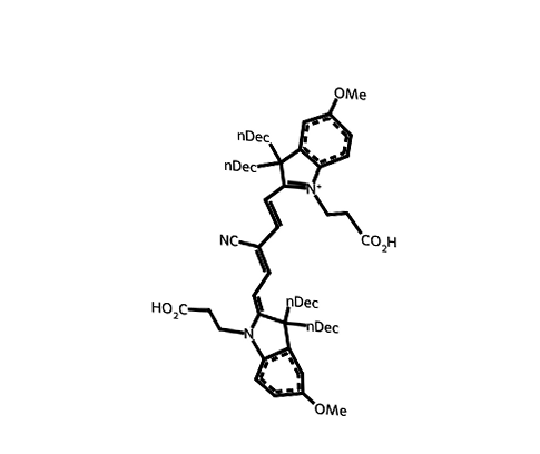 CCCCCCCCCCC1(CCCCCCCCCC)C(/C=C/C(C#N)=C/C=C2/N(CCC(=O)O)c3ccc(OC)cc3C2(CCCCCCCCCC)CCCCCCCCCC)=[N+](CCC(=O)O)c2ccc(OC)cc21